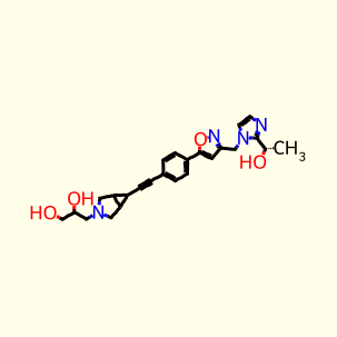 C[C@H](O)c1nccn1Cc1cc(-c2ccc(C#CC3C4CN(CC(O)CO)CC34)cc2)on1